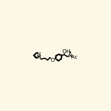 CC(=O)N(C)C[C@H](O)c1ccc(OCCCCn2cccn2)cc1